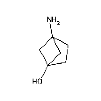 NC12CCC(O)(C1)C2